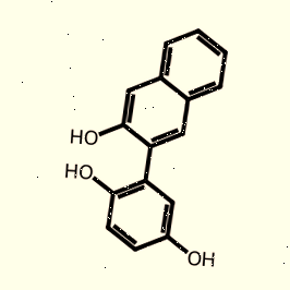 Oc1ccc(O)c(-c2cc3ccccc3cc2O)c1